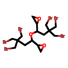 BrCC(CBr)(CBr)CC(OC(CC(CBr)(CBr)CBr)C1CO1)C1CO1